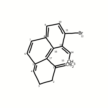 C=C1CCC=c2ccc3ccc(Br)/c(=C/C)c3c21